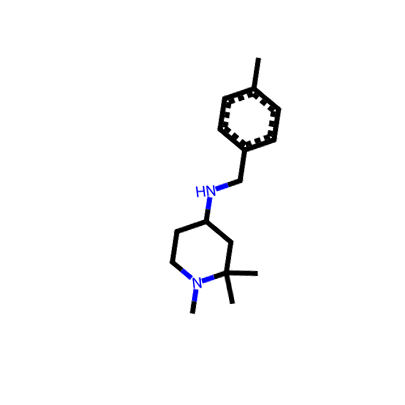 Cc1ccc(CNC2CCN(C)C(C)(C)C2)cc1